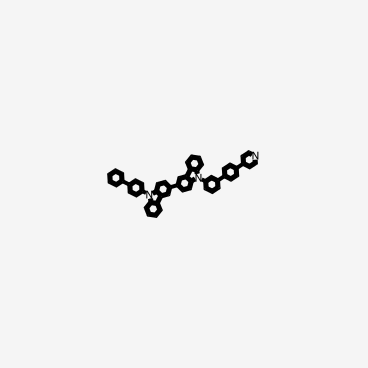 c1ccc(-c2ccc(-n3c4ccccc4c4cc(-c5ccc6c(c5)c5ccccc5n6-c5cccc(-c6ccc(-c7ccncc7)cc6)c5)ccc43)cc2)cc1